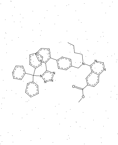 CCCCN(Cc1ccc(-c2ccccc2-c2nnnn2C(c2ccccc2)(c2ccccc2)c2ccccc2)cc1)c1ncnc2ccc(C(=O)OC)cc12